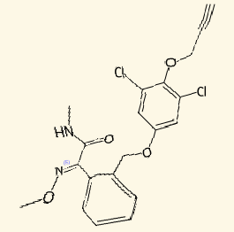 C#CCOc1c(Cl)cc(OCc2ccccc2/C(=N\OC)C(=O)NC)cc1Cl